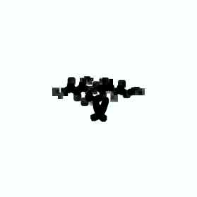 CCCC(NC(=O)[C@@H]1C2C(CN1C(=O)[C@@H](NC(=O)OC(C)(C)C)C(C)(C)C)C2(C)C)C(=O)C(N)=O